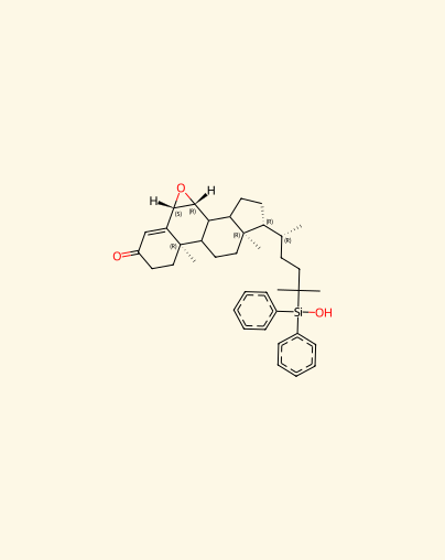 C[C@H](CCC(C)(C)[Si](O)(c1ccccc1)c1ccccc1)[C@H]1CCC2C3C(CC[C@@]21C)[C@@]1(C)CCC(=O)C=C1[C@@H]1O[C@H]31